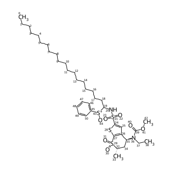 CCCCCCCCCCCCCCCCCCCC(NS(=O)(=O)c1cc2c(s1)S(=O)(=O)[C@@H](C)C[C@@H]2N(CC)C(=O)OC)[S+]([O-])c1ccccc1